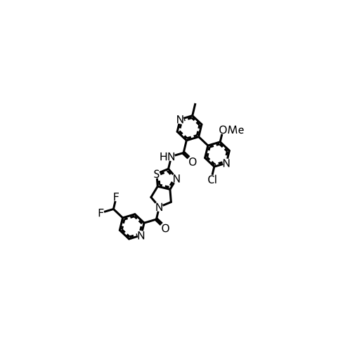 COc1cnc(Cl)cc1-c1cc(C)ncc1C(=O)Nc1nc2c(s1)CN(C(=O)c1cc(C(F)F)ccn1)C2